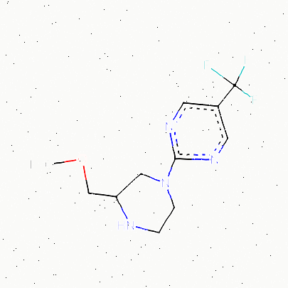 COCC1CN(c2ncc(C(F)(F)F)cn2)CCN1